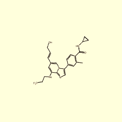 Cc1cc(-c2cnc3c(NCCC(F)(F)F)cc(C=CCO)cn23)ccc1C(=O)NC1CC1